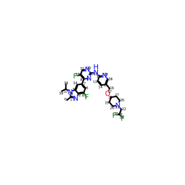 Cc1nc2c(F)cc(-c3nc(Nc4ccc(COC5CCN(CC(F)F)CC5)cn4)ncc3F)cc2n1C(C)C